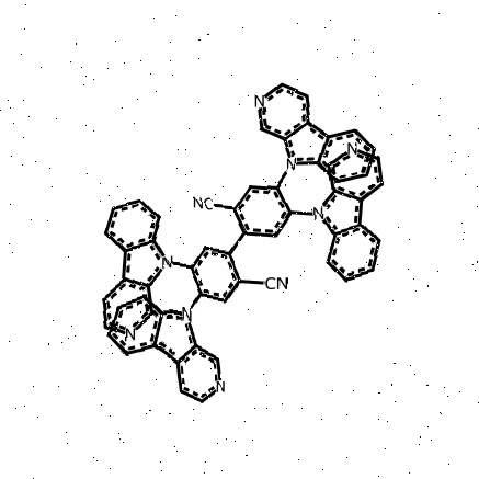 N#Cc1cc(-n2c3ccccc3c3ccncc32)c(-n2c3ccccc3c3ccncc32)cc1-c1cc(-n2c3ccccc3c3ccncc32)c(-n2c3ccccc3c3ccncc32)cc1C#N